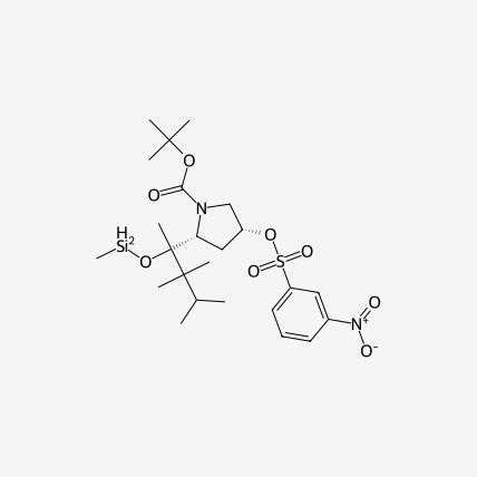 C[SiH2]OC(C)([C@H]1C[C@@H](OS(=O)(=O)c2cccc([N+](=O)[O-])c2)CN1C(=O)OC(C)(C)C)C(C)(C)C(C)C